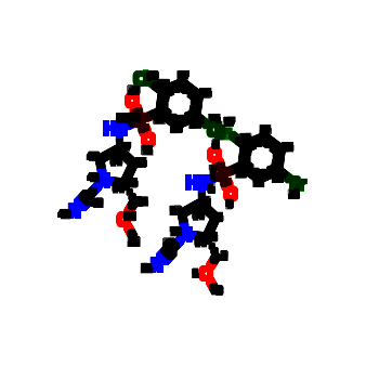 COC[C@H]1C[C@@H](NS(=O)(=O)c2cc(Br)ccc2Br)CN1C#N.COC[C@H]1C[C@@H](NS(=O)(=O)c2cc(Cl)ccc2Cl)CN1C#N